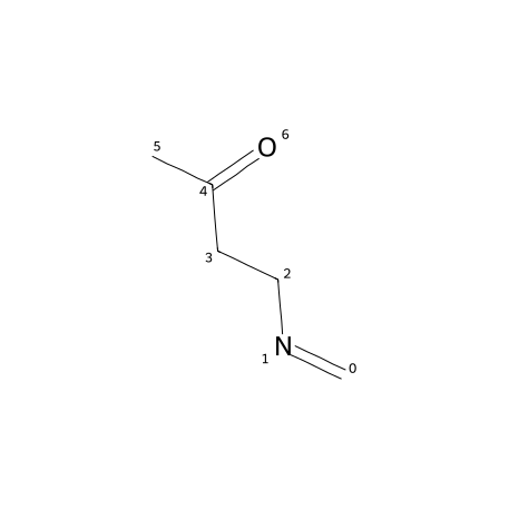 C=NCCC(C)=O